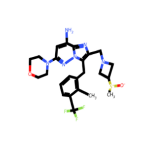 Cc1c(Cc2c(CN3CC([S+](C)[O-])C3)nc3c(N)cc(N4CCOCC4)nn23)cccc1C(F)(F)F